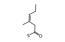 CCC=C(C)CC(=O)[S]